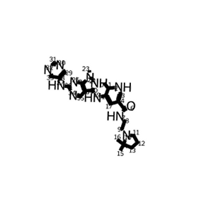 CC1NC=C(C(=O)NCCN2CCCC2(C)C)C=C1NC1NN(C)c2nc(Nc3cncnc3)ncc21